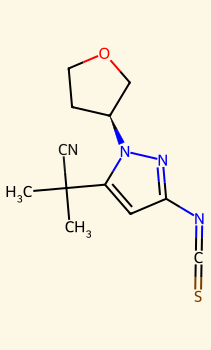 CC(C)(C#N)c1cc(N=C=S)nn1[C@H]1CCOC1